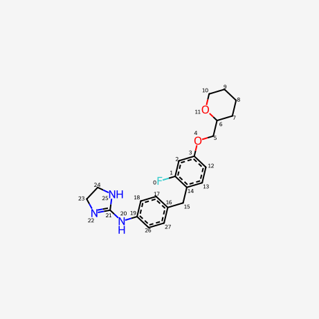 Fc1cc(OCC2CCCCO2)ccc1Cc1ccc(NC2=NCCN2)cc1